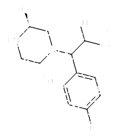 CC(C)C(c1ccc(Br)cc1)N1C[C@H](C)NC[C@H]1C.Cl